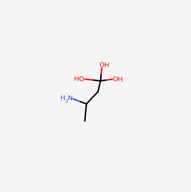 CC(N)CC(O)(O)O